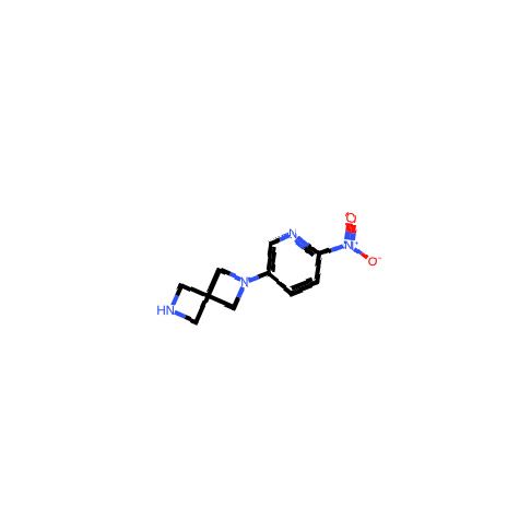 O=[N+]([O-])c1ccc(N2CC3(CNC3)C2)cn1